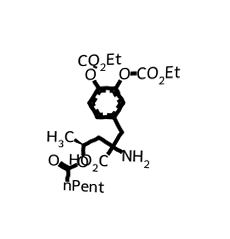 CCCCCC(=O)O[C@@H](C)CC(N)(Cc1ccc(OC(=O)OCC)c(OC(=O)OCC)c1)C(=O)O